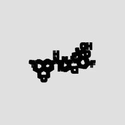 CN1Cc2cc(Nc3ncc(Cl)c(N4CC(C)(C(=O)O)C5=C4CCC(F)=C5)n3)cc3c2C(COC3)C1